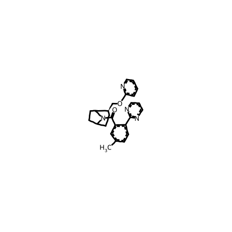 Cc1ccc(-c2ncccn2)c(C(=O)N2C3CCC2[C@@H](COc2ccccn2)CC3)c1